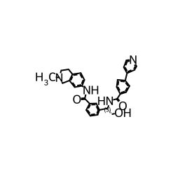 CN1CCc2ccc(NC(=O)c3cccc([C@@H](CO)NC(=O)c4ccc(-c5ccncc5)cc4)c3)cc2C1